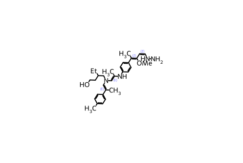 CCC(CCO)CN(/C=C(\C)Nc1ccc(/C(C)=C(/C=C\NN)OC)cc1)/C=C(\C)c1ccc(C)cc1